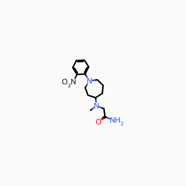 CN(CC(N)=O)C1CCCN(c2ccccc2[N+](=O)[O-])CC1